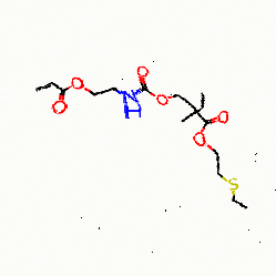 C=CC(=O)OCCNC(=O)OCC(C)(C)C(=O)OCCSCC